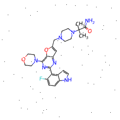 CC(C)(C(N)=O)N1CCN(Cc2cc3nc(-c4c(F)ccc5[nH]ccc45)nc(N4CCOCC4)c3o2)CC1